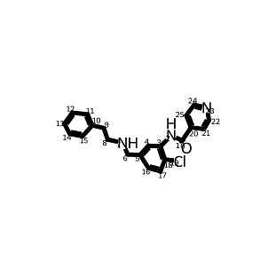 O=C(Nc1cc(CNCCc2ccccc2)ccc1Cl)c1ccncc1